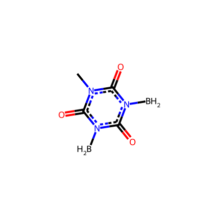 Bn1c(=O)n(B)c(=O)n(C)c1=O